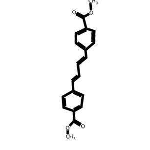 COC(=O)c1ccc(C=CC=Cc2ccc(C(=O)OC)cc2)cc1